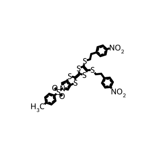 Cc1ccc(S(=O)(=O)n2cc3c(c2)SC(=C2SC(SCCc4ccc([N+](=O)[O-])cc4)=C(SCCc4ccc([N+](=O)[O-])cc4)S2)S3)cc1